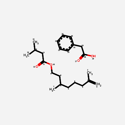 C=C(C)CCCC(C)CCOC(=O)CC(C)C.O=C(O)Cc1ccccc1